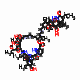 CC[C@H]1C[C@H](C)[C@@]2(NC1=O)O[C@@H](C[C@H](O)[C@@H](C)CC/C=C/C=C(\C)[C@@H]1C/C=C/C=C/[C@H](O)[C@H](C)[C@@H](O)[C@@H](CCC(C)=O)C(=O)N[C@@H](C(C)C)C(=O)N[C@@H](Cc3ccc(C)c(O)c3)C(=O)N3CCCC(N3)C(=O)O1)[C@H](C)[C@H](O)[C@@H]2C